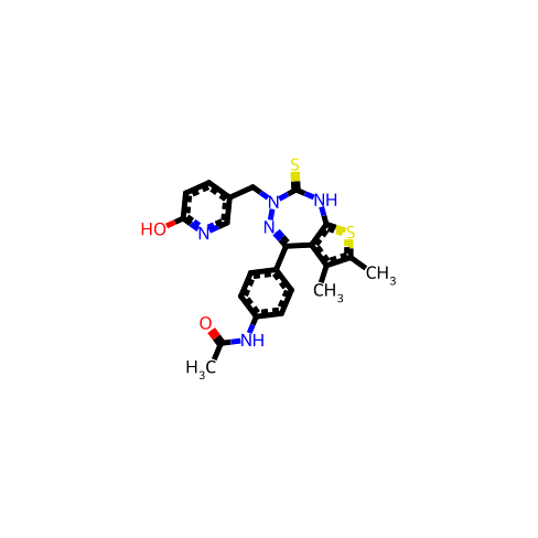 CC(=O)Nc1ccc(C2=NN(Cc3ccc(O)nc3)C(=S)Nc3sc(C)c(C)c32)cc1